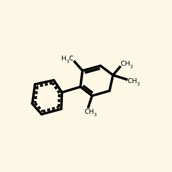 CC1=CC(C)(C)CC(C)=C1c1ccccc1